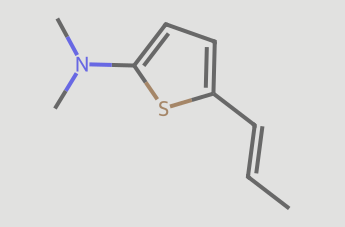 C/C=C/c1ccc(N(C)C)s1